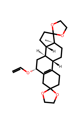 C=CO[C@@H]1C[C@@H]2[C@H](CC[C@@]3(C)[C@H]2CCC32OCCO2)C2=C1CC1(CC2)OCCO1